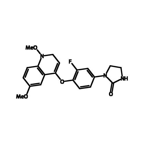 COc1ccc2c(c1)C(Oc1ccc(N3CCNC3=O)cc1F)=CCN2OC